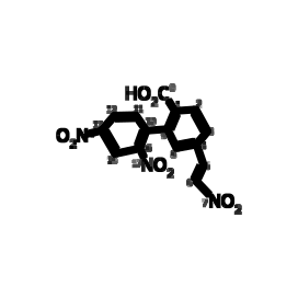 O=C(O)c1ccc(/C=C/[N+](=O)[O-])cc1-c1ccc([N+](=O)[O-])cc1[N+](=O)[O-]